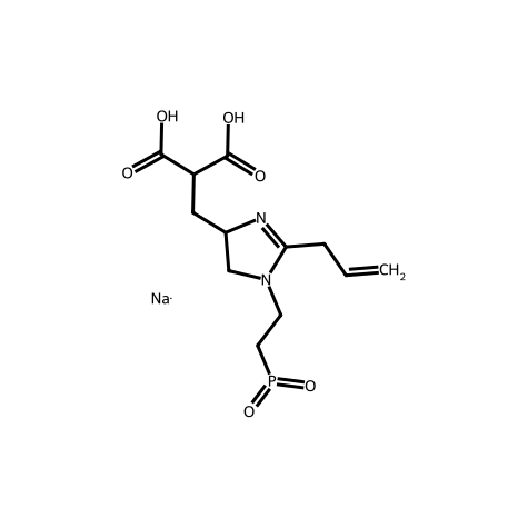 C=CCC1=NC(CC(C(=O)O)C(=O)O)CN1CCP(=O)=O.[Na]